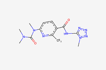 CN(C)C(=O)N(C)c1ccc(C(=O)Nc2nnnn2C)c(C(F)(F)F)n1